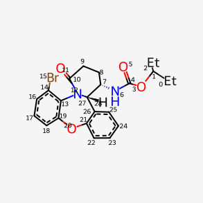 CCC(CC)OC(=O)N[C@H]1CCC(=O)N2c3c(Br)cccc3Oc3ccccc3[C@@H]12